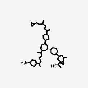 BC1CCC(C(C)CCCC(C)C2CCC(C3CCC(C(C)CCC(C)CCC4CC4)CC3)CC([C@@H]3CCCC(C(CCC(C)O)CC(C)C4CC4)CC3)C2)CC1